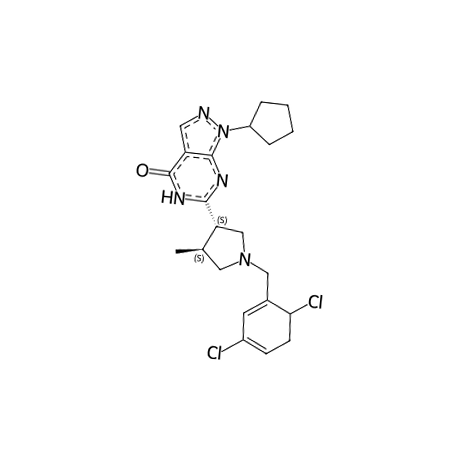 C[C@@H]1CN(CC2=CC(Cl)=CCC2Cl)C[C@H]1c1nc2c(cnn2C2CCCC2)c(=O)[nH]1